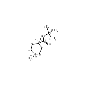 CCC(C)(C)OC(=O)C1(C)CCN(C)CC1